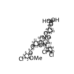 COc1cc(Cl)ccc1OCCOc1ccc(C2=C(C(=O)N(Cc3cccc(Cl)c3Cl)C3CC3)CN(C(=O)Oc3cccc(CON(O)O)c3)CC2)cc1